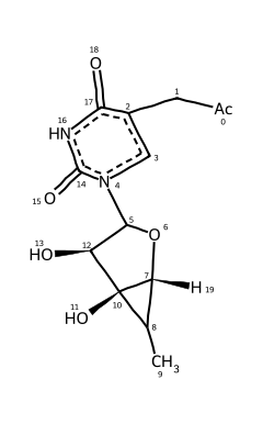 CC(=O)Cc1cn(C2O[C@@H]3C(C)[C@]3(O)[C@H]2O)c(=O)[nH]c1=O